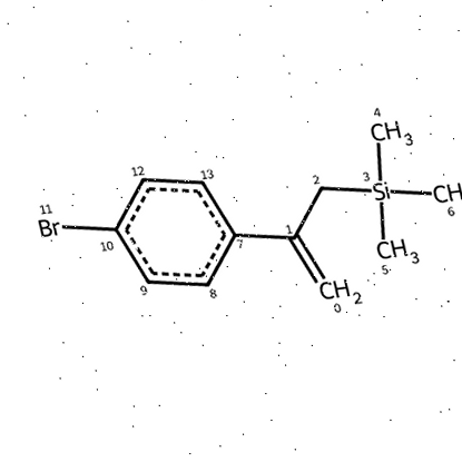 C=C(C[Si](C)(C)C)c1ccc(Br)cc1